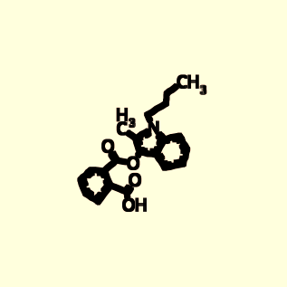 CCCCn1c(C)c(OC(=O)c2ccccc2C(=O)O)c2ccccc21